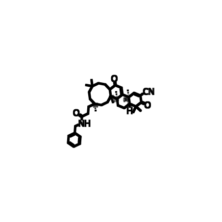 CC1(C)CCC2C(=O)C=C3[C@@]4(C)C=C(C#N)C(=O)C(C)(C)[C@@H]4CC[C@@]3(C)[C@]2(C)CC[C@@](C)(CCC(=O)NCc2ccccc2)CC1